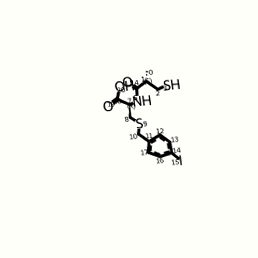 C[C@H](CS)C(=O)N[C@@H](CSCc1ccc(I)cc1)C(=O)O